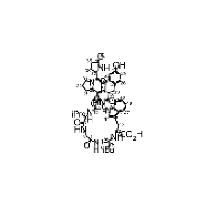 CCC(C)C1NC(=O)CNC(=O)C(C(C)C)NC(=O)C(NC(=O)C(Cc2ccc(O)cc2)NC(=O)C2CCCN2C(=O)C2CCC(=O)N2)n2cc(c3ccccc32)CC(C(=O)O)NC1=O